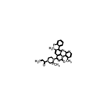 C=CC(=O)N1CCN(c2nc(=O)n(-c3c(C)ccnc3CCC)c3nc(-c4ccccc4F)c(C)cc23)[C@@H](C)C1